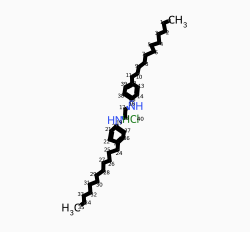 CCCCCCCCCCCCc1ccc(NCCNc2ccc(CCCCCCCCCCCC)cc2)cc1.Cl